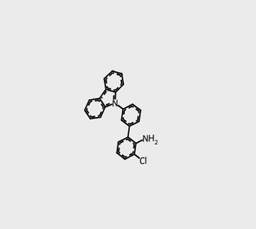 Nc1c(Cl)cccc1-c1cccc(-n2c3ccccc3c3ccccc32)c1